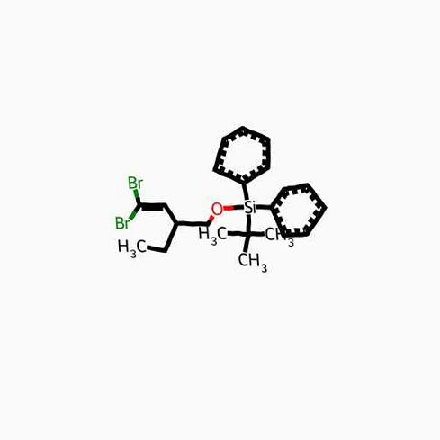 CCC(C=C(Br)Br)CO[Si](c1ccccc1)(c1ccccc1)C(C)(C)C